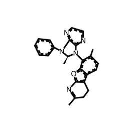 CC1=Nc2oc3c(N4c5nccnc5N(c5ccccc5)[C@@H]4C)c(C)ccc3c2CC1